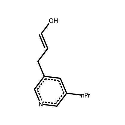 CCCc1cncc(CC=CO)c1